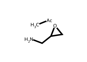 CC(C)=O.NCC1CO1